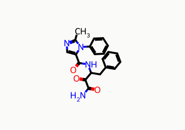 Cc1ncc(C(=O)NC(Cc2ccccc2)C(=O)C(N)=O)n1-c1ccccc1